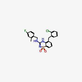 Cc1cc(F)ccc1CNC1=NS(=O)(=O)c2cccc(Cc3ccccc3Cl)c2N1